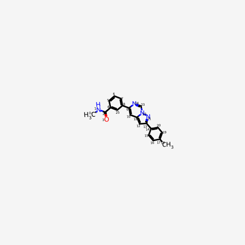 CNC(=O)c1cccc(-c2cc3cc(-c4ccc(C)cc4)nn3cn2)c1